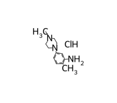 Cc1ccc(N2CCN(C)CC2)cc1N.Cl